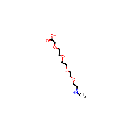 CNCCOCCOCCOCCOCC(=O)O